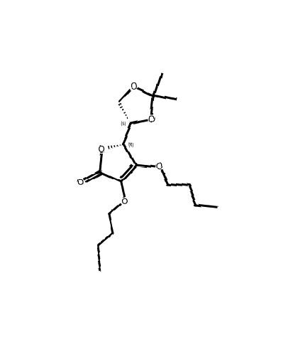 CCCCOC1=C(OCCCC)[C@@H]([C@@H]2COC(C)(C)O2)OC1=O